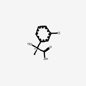 C[C@](O)(C(=O)O)c1cccc(Cl)c1